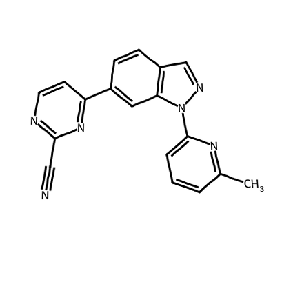 Cc1cccc(-n2ncc3ccc(-c4ccnc(C#N)n4)cc32)n1